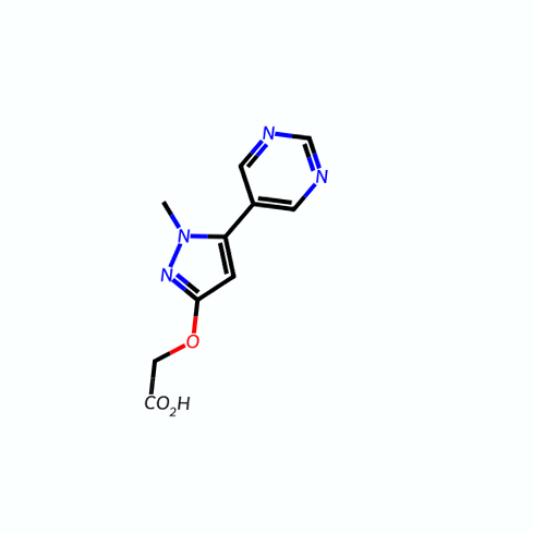 Cn1nc(OCC(=O)O)cc1-c1cncnc1